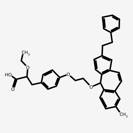 CCOC(Cc1ccc(OCCOC2c3ccc(C)cc3C=Cc3cc(CCc4ccccc4)ccc32)cc1)C(=O)O